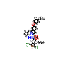 COC(=O)[C@H](Cc1cc(Cl)sc1Cl)NC(=O)c1cc2ccc(Oc3ccc(C(C)(C)C)cc3)cc2c(CC2CCCC2)n1